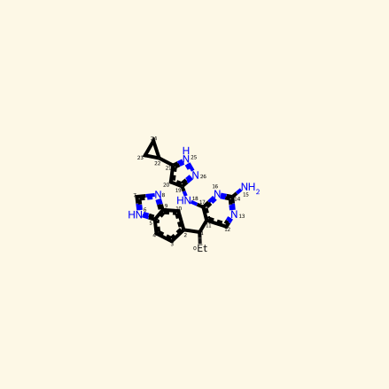 CCC(c1ccc2[nH]cnc2c1)c1cnc(N)nc1Nc1cc(C2CC2)[nH]n1